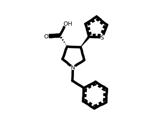 O=C(O)[C@H]1CN(Cc2ccccc2)C[C@@H]1c1cccs1